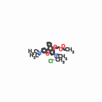 C=CC(=O)OCCOC(=O)c1ccccc1-c1c2ccc(N(CC)CC)cc2[o+]c2cc(N(CC)CC)ccc12.[Cl-]